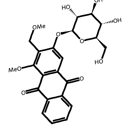 COCc1c(O[C@@H]2O[C@H](CO)[C@@H](O)[C@H](O)[C@H]2O)cc2c(c1OC)C(=O)c1ccccc1C2=O